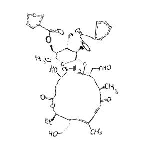 CC[C@H]1OC(=O)C[C@@H](O)[C@H](C)[C@@H](OC2O[C@H](C)[C@@H](OC(=O)c3ccccc3)[C@H](C(C)C)[C@H]2OC(=O)c2ccccc2)[C@@H](CC=O)C[C@@H](C)C(=O)/C=C/C(C)=C/[C@@H]1CO